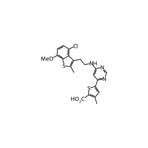 COc1ccc(Cl)c2c(CCNc3cc(-c4cc(C)c(C(=O)O)s4)ncn3)c(C)sc12